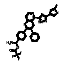 Cn1cc(-c2n[nH]c(-c3nccc4nc(-c5ccc(C(N)OC(=O)C(F)(F)F)cc5)c(-c5ccccc5)cc34)n2)cn1